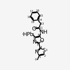 Cc1csc(-c2n[c]([PbH])c(NC(=O)Cc3ccccc3)o2)n1